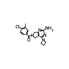 Cc1cc(C(=O)N2Cc3nc(N)nc(N4CCC4)c3C2)ccc1Cl